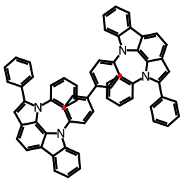 c1ccc(-c2cc3ccc4c5ccccc5n(-c5ccc(-c6ccc(-n7c8ccccc8c8ccc9cc(-c%10ccccc%10)n(-c%10ccccc%10)c9c87)cc6)cc5)c4c3n2-c2ccccc2)cc1